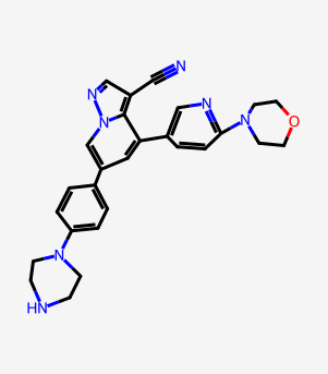 N#Cc1cnn2cc(-c3ccc(N4CCNCC4)cc3)cc(-c3ccc(N4CCOCC4)nc3)c12